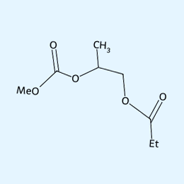 CCC(=O)OCC(C)OC(=O)OC